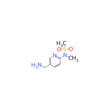 CN(c1ccc(CN)cn1)S(C)(=O)=O